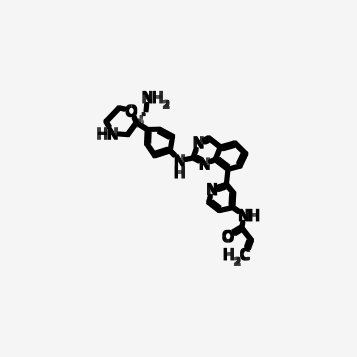 C=CC(=O)Nc1ccnc(-c2cccc3cnc(Nc4ccc([C@@]5(CN)CNCCO5)cc4)nc23)c1